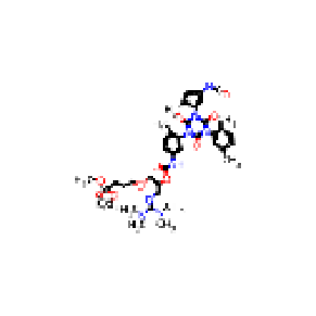 CO[Si](CCCOCC(CN=C(N(C)C)N(C)C)OC(=O)Nc1ccc(C)c(-n2c(=O)n(-c3cc(C)ccc3C)c(=O)n(-c3cc(N=C=O)ccc3C)c2=O)c1)(OC)OC